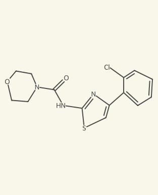 O=C(Nc1nc(-c2ccccc2Cl)cs1)N1CCOCC1